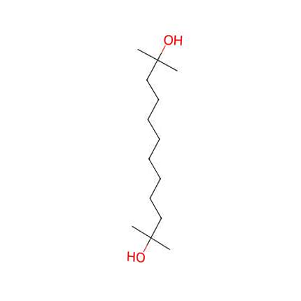 CC(C)(O)CCCCCCCCC(C)(C)O